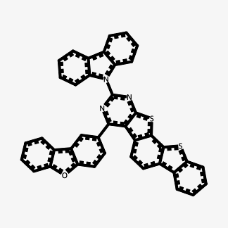 c1ccc2c(c1)oc1ccc(-c3nc(-n4c5ccccc5c5ccccc54)nc4sc5c(ccc6c7ccccc7sc65)c34)cc12